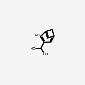 N.OC(O)c1cc2cc(c1)C2